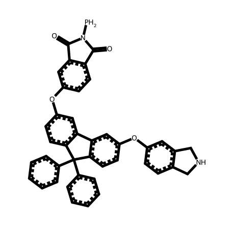 O=C1c2ccc(Oc3ccc4c(c3)-c3cc(Oc5ccc6c(c5)CNC6)ccc3C4(c3ccccc3)c3ccccc3)cc2C(=O)N1P